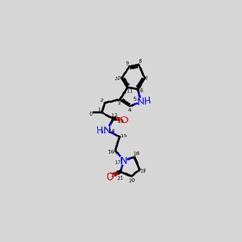 CC(Cc1c[nH]c2ccccc12)C(=O)NCCN1CCCC1=O